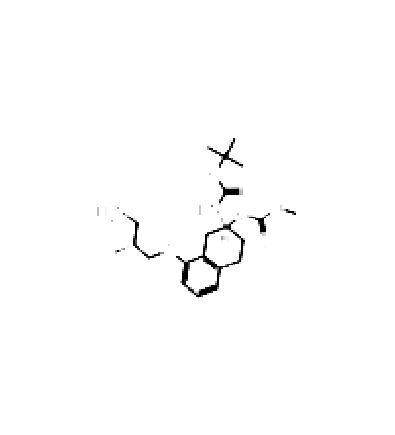 COC(=O)O[C@]1(NC(=O)OC(C)(C)C)CCc2cccc(OC[C@@H](C)CN)c2C1